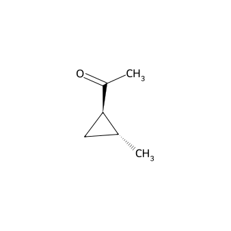 CC(=O)[C@@H]1C[C@H]1C